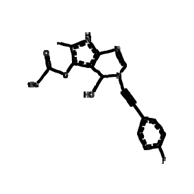 Cc1[nH]c2c(c1OC(=O)C(C)(C)C)C(O)N(C#Cc1ccc(F)cc1)C=N2